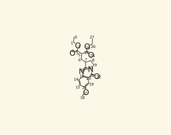 CCOC(=O)C(CC1CCn2c1nc1ccc(OC)cc1c2=O)C(=O)OCC